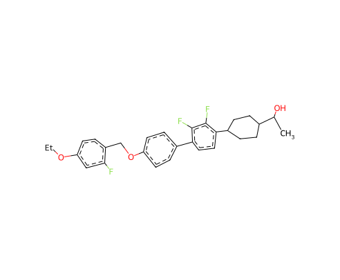 CCOc1ccc(COc2ccc(-c3ccc(C4CCC(C(C)O)CC4)c(F)c3F)cc2)c(F)c1